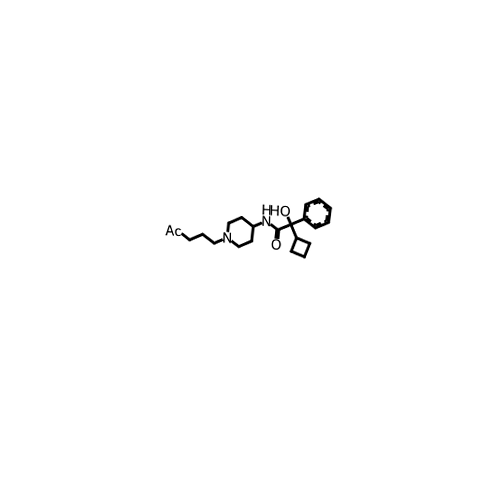 CC(=O)CCCN1CCC(NC(=O)C(O)(c2ccccc2)C2CCC2)CC1